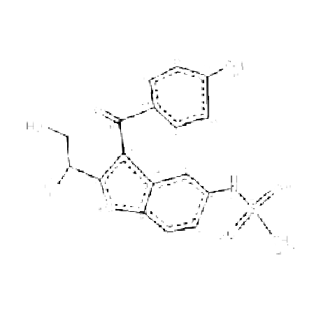 CCC(C)c1oc2ccc(NS(C)(=O)=O)cc2c1C(=O)c1ccc(O)cc1